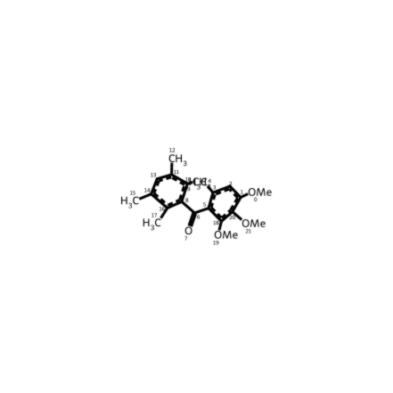 COc1cc(C)c(C(=O)c2c(C)c(C)cc(C)c2C)c(OC)c1OC